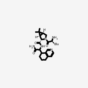 CC(C)(C)[C@H](N)C(=O)N1C[C@H]2[C@@H]([C@H]1C(=O)NC(C(N)=O)C1CCCc3ccncc31)C2(C)C